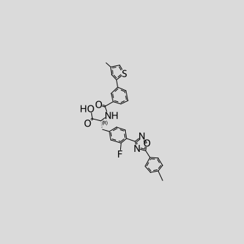 Cc1ccc(-c2nc(-c3ccc(C[C@@H](NC(=O)c4cccc(-c5cc(C)cs5)c4)C(=O)O)cc3F)no2)cc1